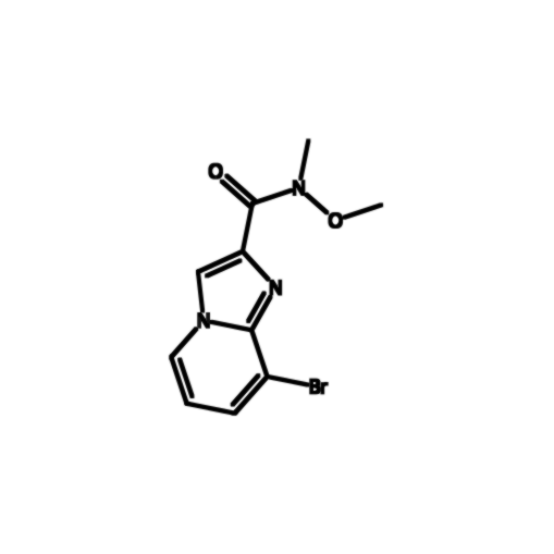 CON(C)C(=O)c1cn2cccc(Br)c2n1